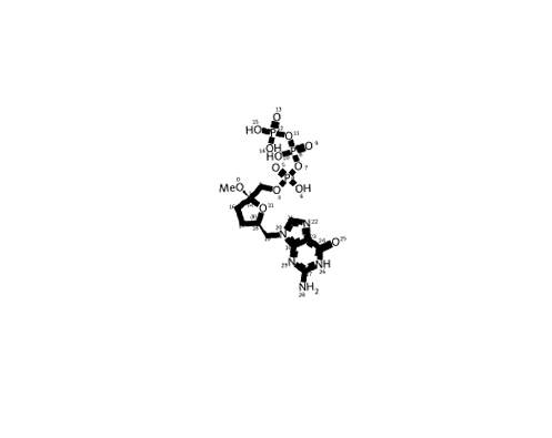 CO[C@@]1(COP(=O)(O)OP(=O)(O)OP(=O)(O)O)CC[C@H](Cn2cnc3c(=O)[nH]c(N)nc32)O1